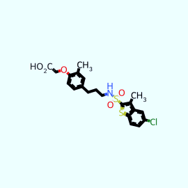 Cc1cc(CCCNS(=O)(=O)c2sc3ccc(Cl)cc3c2C)ccc1OCC(=O)O